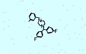 Cc1cccc(CN2CCN(C(c3ccc(F)cc3)c3ccc(F)cc3)CC2)c1